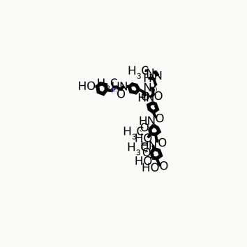 COc1c(NC(=O)c2ccc(NC(=O)c3ccc(NC(=O)[C@H](Cc4cn(C)cn4)NC(=O)c4ccc(NC(=O)/C(C)=C/c5ccc(O)cc5)cc4)cc3)c(OC)c2O)ccc(C(=O)O)c1O